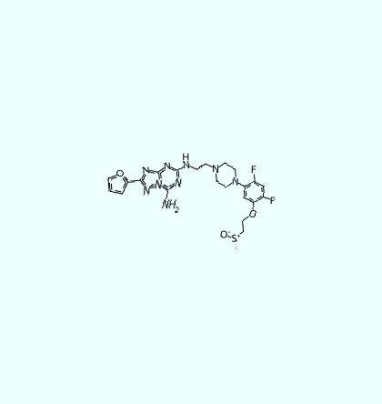 C[S@+]([O-])CCOc1cc(N2CCN(CCNc3nc(N)n4nc(-c5ccco5)nc4n3)CC2)c(F)cc1F